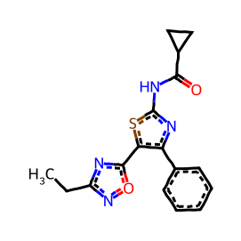 CCc1noc(-c2sc(NC(=O)C3CC3)nc2-c2ccccc2)n1